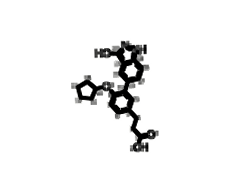 O=C(O)CCc1ccc(OC2CCCC2)c(-c2ccc3[nH]nc(O)c3c2)c1